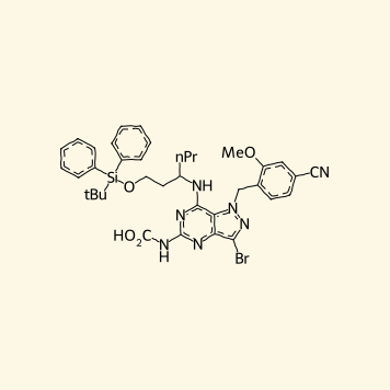 CCCC(CCO[Si](c1ccccc1)(c1ccccc1)C(C)(C)C)Nc1nc(NC(=O)O)nc2c(Br)nn(Cc3ccc(C#N)cc3OC)c12